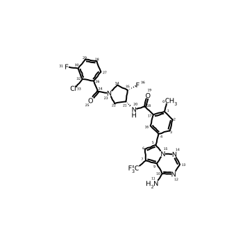 Cc1ccc(-c2cc(C(F)(F)F)c3c(N)ncnn23)cc1C(=O)N[C@@H]1CN(C(=O)c2cccc(F)c2Cl)C[C@@H]1F